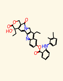 CCc1c2c(nc3ccc(OC(=O)c4ccccc4Nc4cccc(C)c4C)cc13)-c1cc3c(c(=O)n1C2)COC(=O)[C@]3(O)CC